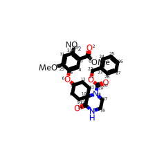 COC(=O)c1cc(OC2CCC3(CC2)C(=O)NCCN3C(=O)OCc2ccccc2)c(OC)cc1[N+](=O)[O-]